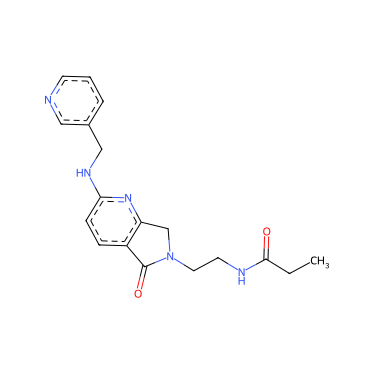 CCC(=O)NCCN1Cc2nc(NCc3cccnc3)ccc2C1=O